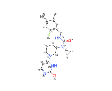 Cc1cc(CNC(=O)N(C2CC2)C2CCCN(c3ccnc(=O)[nH]3)C2)c(F)cc1C#N